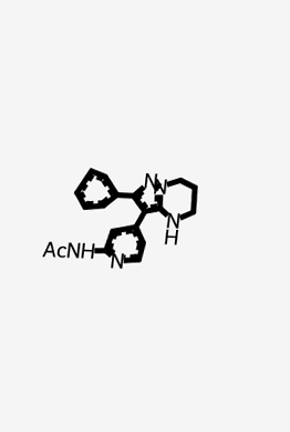 CC(=O)Nc1cc(-c2c(-c3ccccc3)nn3c2NCCC3)ccn1